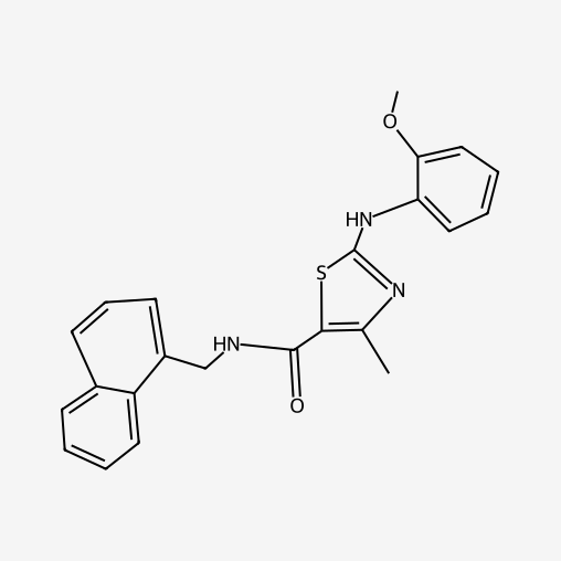 COc1ccccc1Nc1nc(C)c(C(=O)NCc2cccc3ccccc23)s1